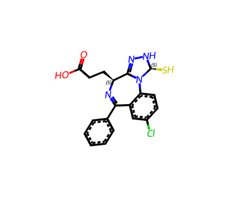 O=C(O)CC[C@@H]1N=C(c2ccccc2)c2cc(Cl)ccc2N2C1=NN[C@H]2S